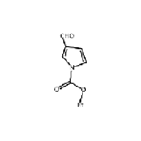 CCOC(=O)n1ccc(C=O)c1